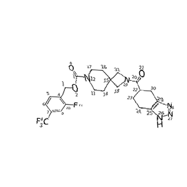 O=C(OCc1ccc(C(F)(F)F)cc1F)N1CCC2(CC1)CN(C(=O)C1CCc3[nH]nnc3C1)C2